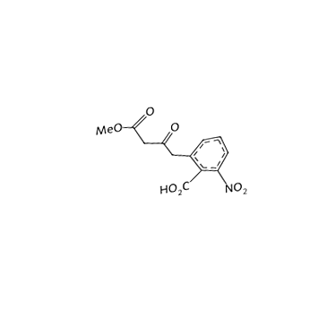 COC(=O)CC(=O)Cc1cccc([N+](=O)[O-])c1C(=O)O